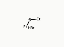 Br.CC[B]CC